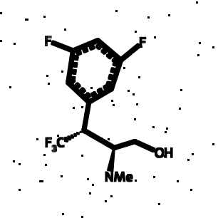 CN[C@H](CO)[C@@H](c1cc(F)cc(F)c1)C(F)(F)F